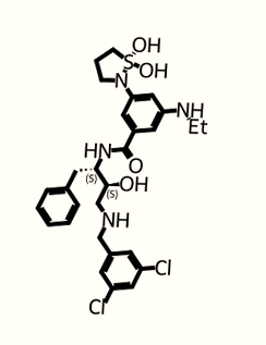 CCNc1cc(C(=O)N[C@@H](Cc2ccccc2)[C@@H](O)CNCc2cc(Cl)cc(Cl)c2)cc(N2CCCS2(O)O)c1